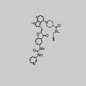 C#CCN(C)C(=O)C1CCN(c2ccnc3c2c(C=C2Oc4ccc(NC(=O)Nc5cccnc5)cc4C2=O)cn3C)CC1